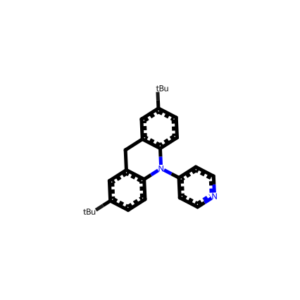 CC(C)(C)c1ccc2c(c1)Cc1cc(C(C)(C)C)ccc1N2c1ccncc1